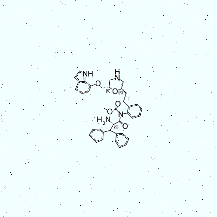 COC(=O)N(C(=O)[C@@H](N)C(c1ccccc1)c1ccccc1)c1ccccc1CC[C@@H]1CNC[C@@H](COc2cccc3cc[nH]c23)O1